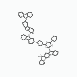 CC1(C)c2ccccc2-c2cc3c4ccccc4n(-c4nc(-c5ccccc5)nc(-c5ccc(-c6ccc7c8ccccc8n(-c8nccc9c8sc8ccc(-n%10c%11ccccc%11c%11ccccc%11%10)cc89)c7c6)cc5)n4)c3cc21